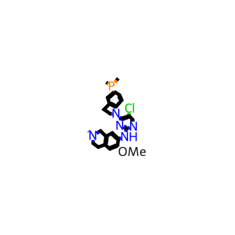 COc1cc2c(cc1Nc1ncc(Cl)c(N3CCc4cc(P(C)C)ccc43)n1)CN(C)CC2